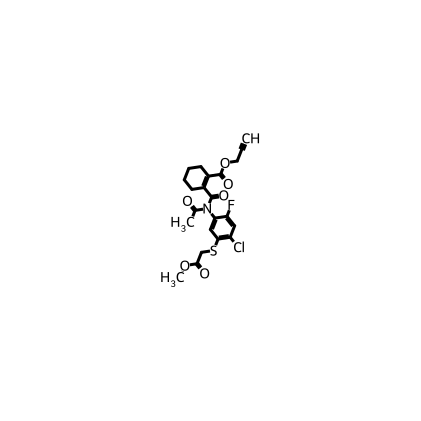 C#CCOC(=O)C1=C(C(=O)N(C(C)=O)c2cc(SCC(=O)OC)c(Cl)cc2F)CCCC1